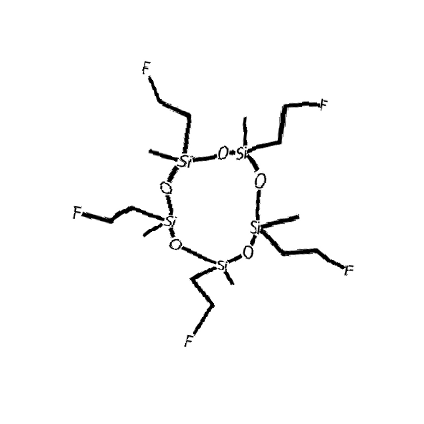 C[Si]1(CCF)O[Si](C)(CCF)O[Si](C)(CCF)O[Si](C)(CCF)O[Si](C)(CCF)O1